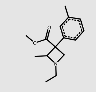 CCN1CC(C(=O)OC)(c2cccc(C)c2)C1C